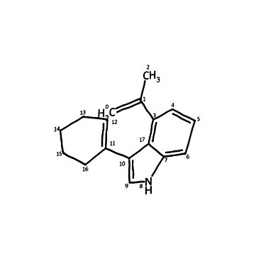 C=C(C)c1cccc2[nH]cc(C3=CCCCC3)c12